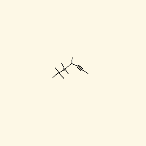 CC#CC(C)[Si](C)(C)C(C)(C)C